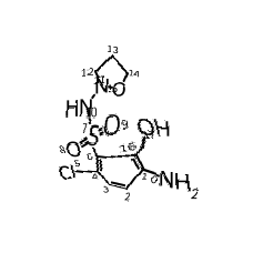 Nc1ccc(Cl)c(S(=O)(=O)NN2CCCO2)c1O